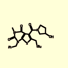 CC(C)Cn1c(=O)n(C)c(=O)c2c(C(=O)N3CCC(O)C3)c(CC(C)(C)C)sc21